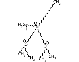 CCCCCCCCCCCCCCCCN(C(=O)CCCCNC)C(CCCCCCCCC(=O)OCC(CCCC)CCCCCC)CCCCCCCCC(=O)OCC(CCCC)CCCCCC